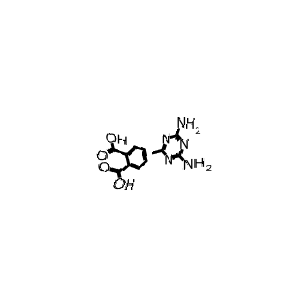 Cc1nc(N)nc(N)n1.O=C(O)c1ccccc1C(=O)O